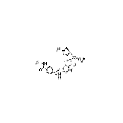 Nc1ccc(C[C@H](NC(=O)c2c(F)cc(NS(=O)(=O)c3ccc(C(=O)NC4CC4)cc3)cc2F)C(=O)O)cc1